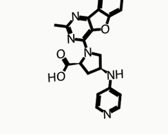 Cc1nc(N2C[C@@H](Nc3ccncc3)C[C@H]2C(=O)O)c2oc3ccccc3c2n1